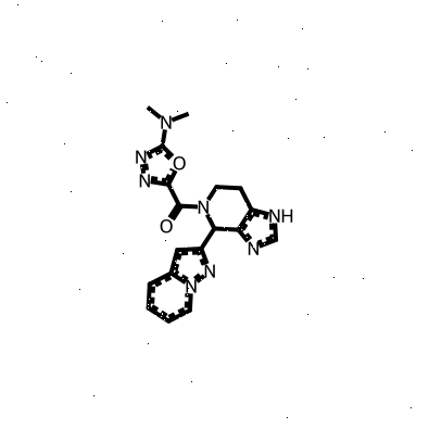 CN(C)c1nnc(C(=O)N2CCc3[nH]cnc3C2c2cc3ccccn3n2)o1